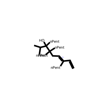 C=C/C(=C/CC(CCCCC)(CCCCC)C(O)(CCCCC)C(C)CCCCC)CCCCC